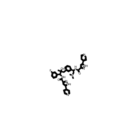 CN(C)CC(NC(=O)c1cc(-c2ccncc2)[nH]n1)c1cccc(CC(C)(O)C(NC(=O)c2cc(-c3ccncc3)[nH]n2)c2cccc(F)c2)c1